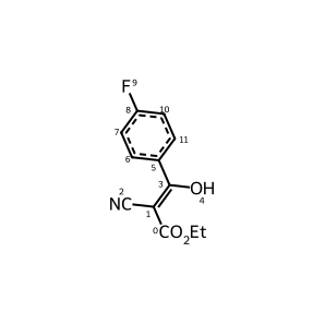 CCOC(=O)C(C#N)=C(O)c1ccc(F)cc1